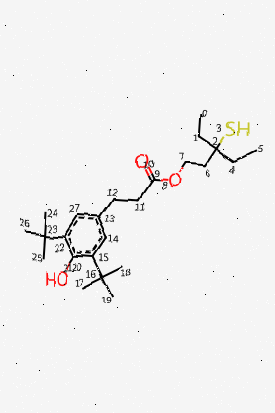 CCC(S)(CC)CCOC(=O)CCc1cc(C(C)(C)C)c(O)c(C(C)(C)C)c1